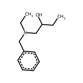 CCC(O)CN(CC)Cc1ccccc1